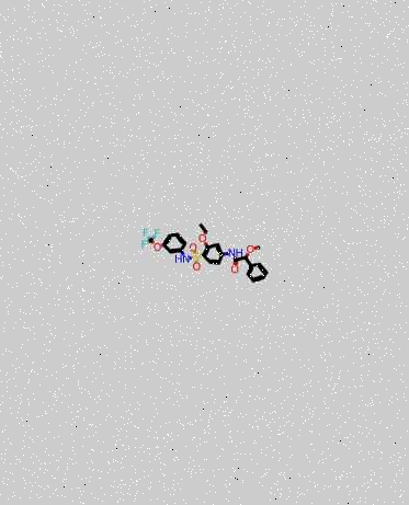 CCOc1cc(NC(=O)C(OC)c2ccccc2)ccc1S(=O)(=O)Nc1cccc(OC(F)(F)F)c1